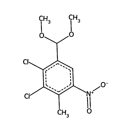 COC(OC)c1cc([N+](=O)[O-])c(C)c(Cl)c1Cl